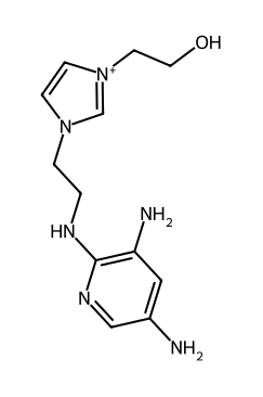 Nc1cnc(NCCn2cc[n+](CCO)c2)c(N)c1